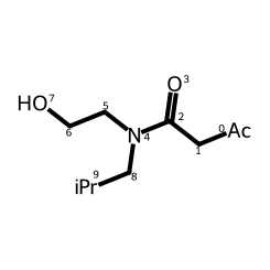 CC(=O)CC(=O)N(CCO)CC(C)C